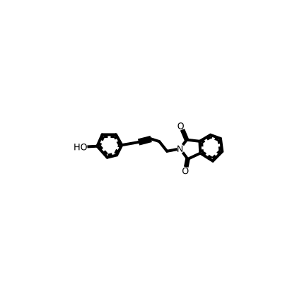 O=C1c2ccccc2C(=O)N1CCC#Cc1ccc(O)cc1